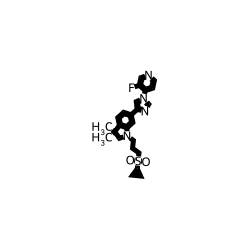 CC1(C)CN(CCCS(=O)(=O)C2CC2)c2cc(-c3cn(-c4ccncc4F)cn3)ccc21